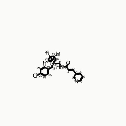 O=C(/C=C/c1cccnc1)NCC[C@@]12[C@@H]3[C@H]1CN(Cc1ccc(Cl)cc1)[C@@H]32